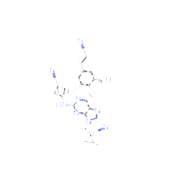 Cc1cc(/C=C/C#N)cc(C)c1Oc1nc(NC23CC(C#N)(C2)C3)nc2c1ncn2CC1(C#N)CC1